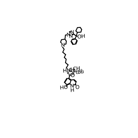 CC(C)(C)[Si](C)(C)O[C@@H](CNCCCCCCCCCN1CCC(Cn2cnc(C(O)(c3ccccc3)C3CCCCC3)n2)CC1)c1ccc(O)c2[nH]c(=O)ccc12